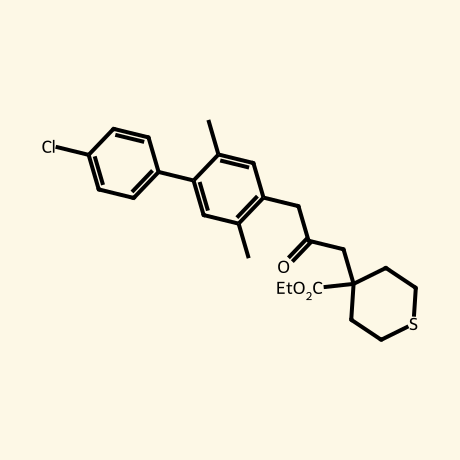 CCOC(=O)C1(CC(=O)Cc2cc(C)c(-c3ccc(Cl)cc3)cc2C)CCSCC1